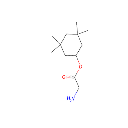 CC1(C)CC(OC(=O)CN)CC(C)(C)C1